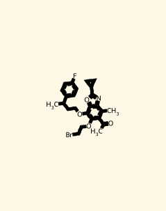 CC(=O)c1c(OCCBr)c(OCCC(C)c2ccc(F)cc2)c2oc(C3CC3)nc2c1C